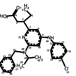 CCC(CC(=O)O)c1cc(Nc2ccc(Cl)cc2)cc(N(Cc2ccccc2)C(C)C)n1